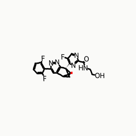 CC1(C)C2CC[C@]1(c1nc(C(=O)NCCO)ncc1F)c1nnc(-c3c(F)cccc3F)cc12